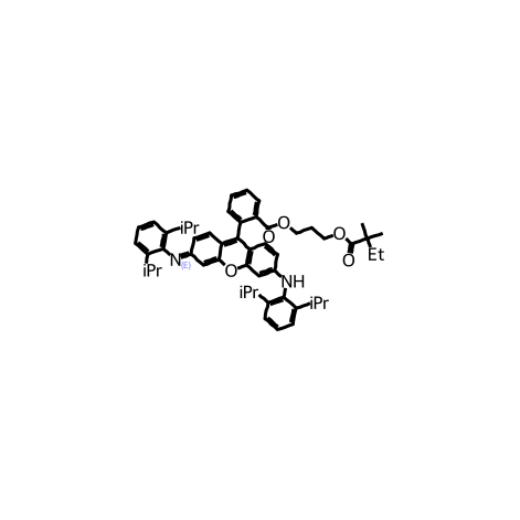 CCC(C)(C)C(=O)OCCCOC(=O)c1ccccc1-c1c2cc/c(=N\c3c(C(C)C)cccc3C(C)C)cc-2oc2cc(Nc3c(C(C)C)cccc3C(C)C)ccc12